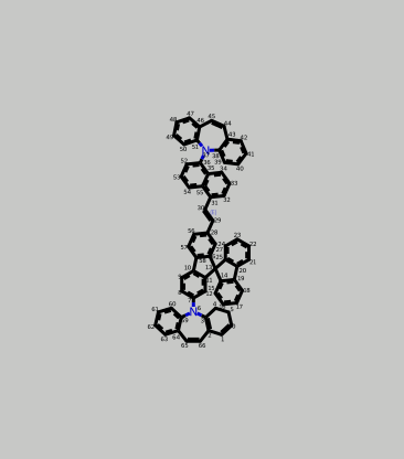 C1=CC2=C(CC1)N(c1ccc3c(c1)C1(c4ccccc4-c4ccccc41)c1cc(/C=C/c4cccc5c(N6c7ccccc7C=Cc7ccccc76)cccc45)ccc1-3)c1ccccc1C=C2